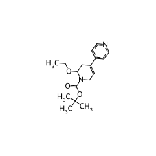 CCOC1CC(c2ccncc2)=CCN1C(=O)OC(C)(C)C